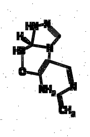 C=C/N=C\C1=C(N)OB[C@@H]2NN=CN12